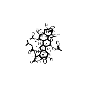 CC(=O)O[C@@H]1C2C(C[C@H](OC(C)=O)[C@]3(C)[C@H]4[C@H](C)[C@H]5O[C@]56OC(=O)[C@@](C)(OC(=O)CC(C)C)[C@]6(C)[C@@H]4[C@H](C)[C@@H]23)[C@@]2(C(C)=O)[C@@H](O)[C@H]3O[C@H]3C[C@]2(O)[C@@H]1C